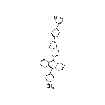 CC1=CC=C(c2c3ccccc3c(-c3ccc4cc(-c5ccc(-c6cccnc6)cc5)ccc4c3)c3ccccc23)CC1